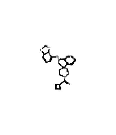 O=C(C1CCC1)N1CCC2(CC1)CN(CC1=CC=CC3OCOC13)c1ccccc12